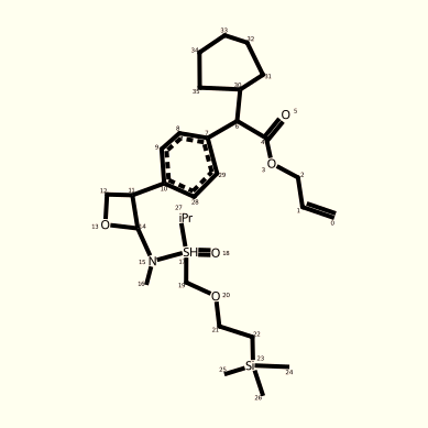 C=CCOC(=O)C(c1ccc(C2COC2N(C)[SH](=O)(COCC[Si](C)(C)C)C(C)C)cc1)C1CCCCC1